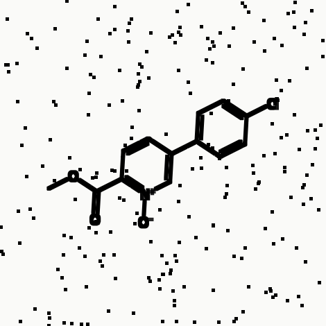 COC(=O)c1ccc(-c2ccc(Cl)cc2)c[n+]1[O-]